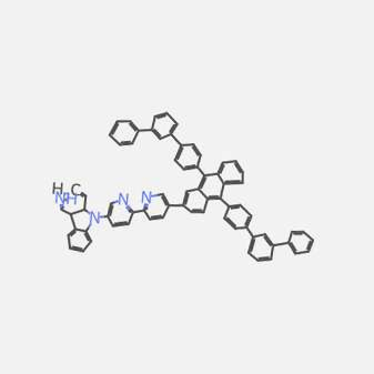 C=CC1C(C=N)c2ccccc2N1c1ccc(-c2ccc(-c3ccc4c(-c5ccc(-c6cccc(-c7ccccc7)c6)cc5)c5ccccc5c(-c5ccc(-c6cccc(-c7ccccc7)c6)cc5)c4c3)cn2)nc1